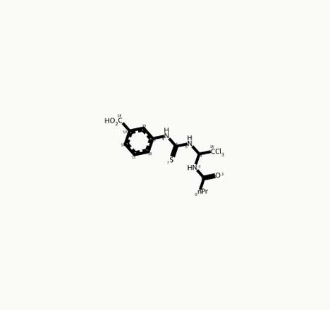 CCCC(=O)NC(NC(=S)Nc1cccc(C(=O)O)c1)C(Cl)(Cl)Cl